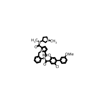 COc1cccc(-c2cc(OC)c(C(=O)N3Cc4ccc(C(=O)N(C)C5CCN(C)C5)n4Cc4ccccc43)cc2Cl)c1